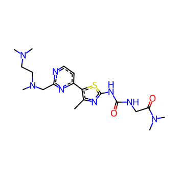 Cc1nc(NC(=O)NCC(=O)N(C)C)sc1-c1ccnc(CN(C)CCN(C)C)n1